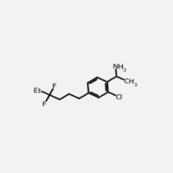 CCC(F)(F)CCCc1ccc(C(C)N)c(Cl)c1